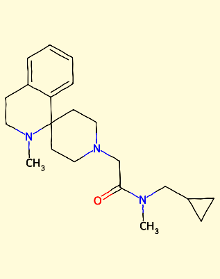 CN(CC1CC1)C(=O)CN1CCC2(CC1)c1ccccc1CCN2C